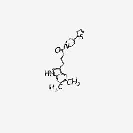 Cc1cc2[nH]cc(CCCC(=O)N3CC=C(c4cccs4)CC3)c2cc1C